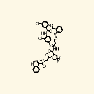 O=C(Nc1ccc([N+](=O)[O-])cc1Cl)c1cc(Cl)ccc1OCc1ccccc1SSCCCNC(=O)C1CC(F)(F)CN1C(=O)CNC(=O)c1ccnc2ccccc12